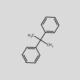 CC(C)(c1c[c][c]cc1)c1ccccc1